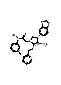 CCCCN(C(=O)CN1C[C@H](c2ccc3c(c2)OCO3)[C@@H](C(=O)O)[C@@H]1CCc1ccccn1)c1ccc[n+](C)c1